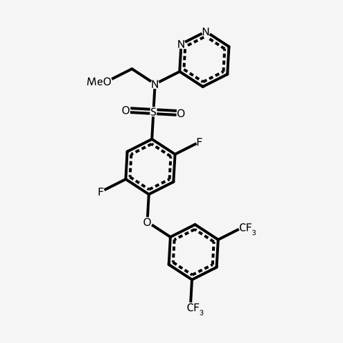 COCN(c1cccnn1)S(=O)(=O)c1cc(F)c(Oc2cc(C(F)(F)F)cc(C(F)(F)F)c2)cc1F